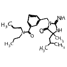 CCCN(CCC)C(=O)c1cccc(CN2C(=N)NC(C)(CC(C)C)C2=O)c1